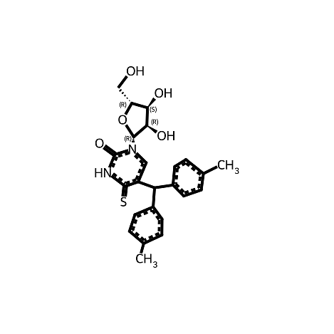 Cc1ccc(C(c2ccc(C)cc2)c2cn([C@@H]3O[C@H](CO)[C@@H](O)[C@H]3O)c(=O)[nH]c2=S)cc1